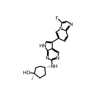 C[C@]1(O)CC[C@H](Nc2ncc3c(-c4ccc5ncc(F)n5c4)c[nH]c3n2)CC1